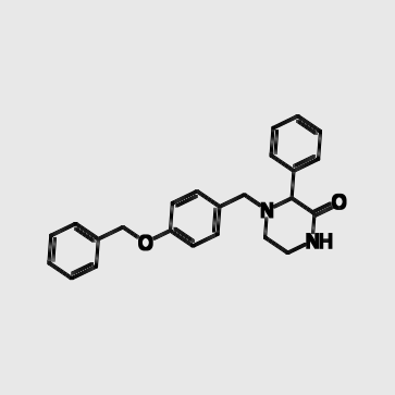 O=C1NCCN(Cc2ccc(OCc3ccccc3)cc2)C1c1ccccc1